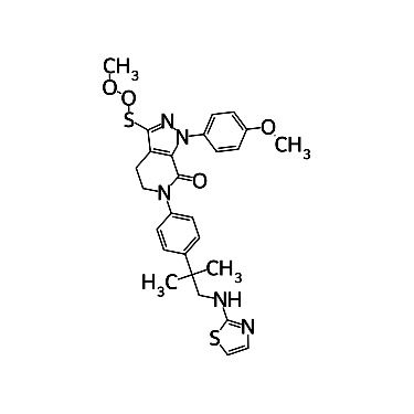 COOSc1nn(-c2ccc(OC)cc2)c2c1CCN(c1ccc(C(C)(C)CNc3nccs3)cc1)C2=O